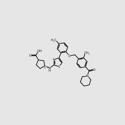 Cc1ccc(OCc2ccc(C(=O)N3CCCCC3)cc2C)c(-c2csc(N[C@H]3CCC(C(=O)O)C3)n2)c1